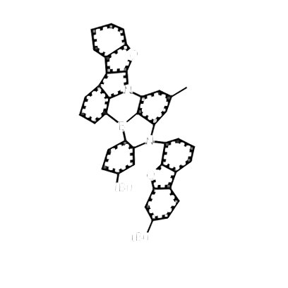 Cc1cc2c3c(c1)-n1c4oc5ccccc5c4c4cccc(c41)B3c1ccc(C(C)(C)C)cc1N2c1cccc2c1oc1cc(C(C)(C)C)ccc12